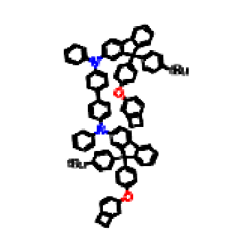 CC(C)(C)c1ccc(C2(c3ccc(Oc4ccc5c(c4)CC5)cc3)c3ccccc3-c3ccc(N(c4ccccc4)c4ccc(-c5ccc(N(c6ccccc6)c6ccc7c(c6)C(c6ccc(Oc8ccc9c(c8)CC9)cc6)(c6ccc(C(C)(C)C)cc6)c6ccccc6-7)cc5)cc4)cc32)cc1